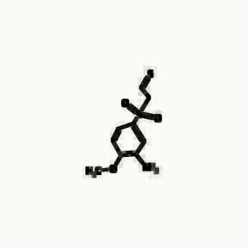 COc1ccc(S(=O)(=O)CC=S)cc1N